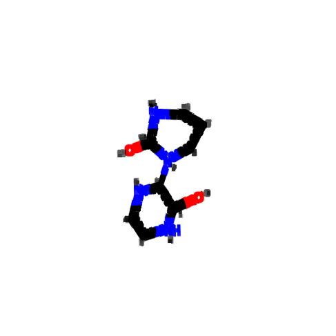 O=c1[nH]ccnc1-n1cccnc1=O